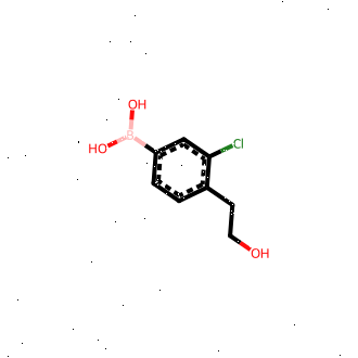 OCCc1ccc(B(O)O)cc1Cl